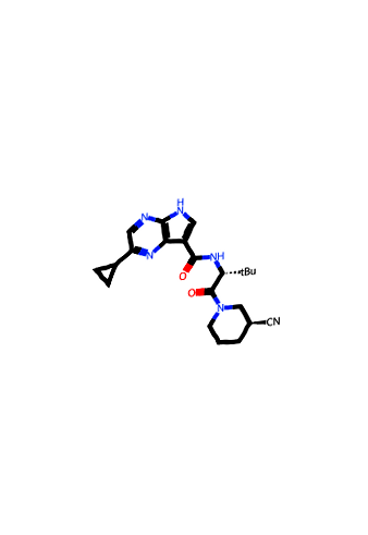 CC(C)(C)[C@@H](NC(=O)c1c[nH]c2ncc(C3CC3)nc12)C(=O)N1CCC[C@H](C#N)C1